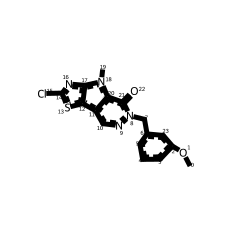 COc1cccc(Cn2ncc3c4sc(Cl)nc4n(C)c3c2=O)c1